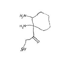 NC1CCCCC1(N)C(=O)CS